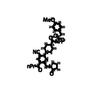 CCCC(=O)c1cc(C#N)c(N2CCC(C(=O)NS(=O)(=O)Cc3ccc(OC)cc3)CC2)nc1CN1CCCC1=O